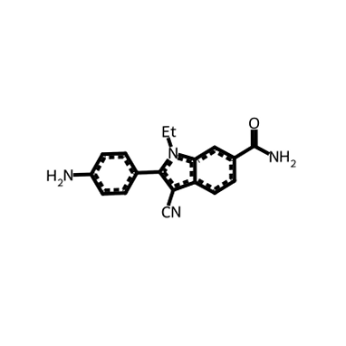 CCn1c(-c2ccc(N)cc2)c(C#N)c2ccc(C(N)=O)cc21